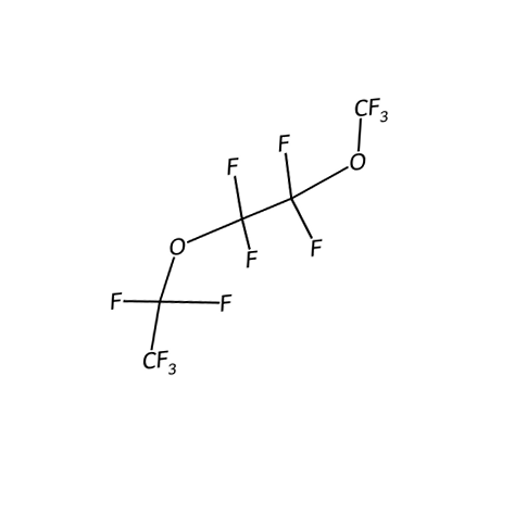 FC(F)(F)OC(F)(F)C(F)(F)OC(F)(F)C(F)(F)F